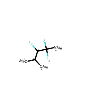 CNC(F)(F)C(F)C(OC)OC